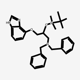 CC(C)(C)[Si](C)(C)OC(COc1cccc2[nH]cnc12)CN(Cc1ccccc1)Cc1ccccc1